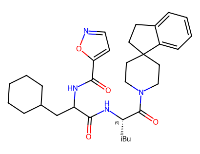 CCC(C)[C@H](NC(=O)C(CC1CCCCC1)NC(=O)c1ccno1)C(=O)N1CCC2(CCc3ccccc32)CC1